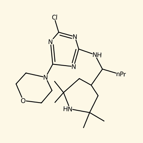 CCCC(Nc1nc(Cl)nc(N2CCOCC2)n1)C1CC(C)(C)NC(C)(C)C1